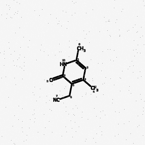 Cc1cc(C(F)(F)F)c(CC#N)c(=O)[nH]1